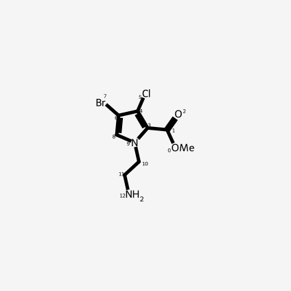 COC(=O)c1c(Cl)c(Br)cn1CCN